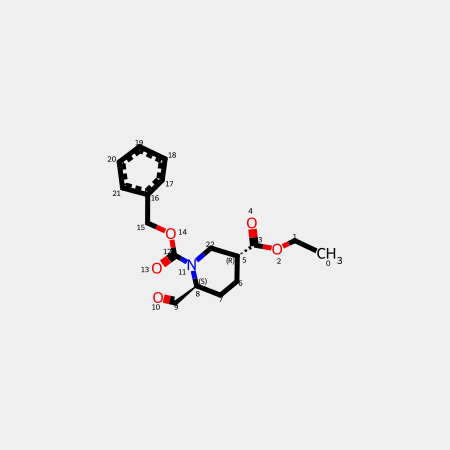 CCOC(=O)[C@@H]1CC[C@@H](C=O)N(C(=O)OCc2ccccc2)C1